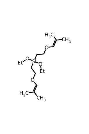 CCO[Si](CCOC=C(C)C)(CCOC=C(C)C)OCC